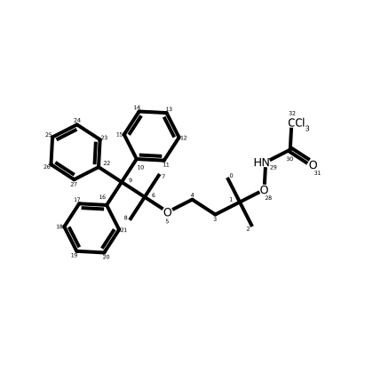 CC(C)(CCOC(C)(C)C(c1ccccc1)(c1ccccc1)c1ccccc1)ONC(=O)C(Cl)(Cl)Cl